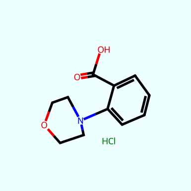 Cl.O=C(O)c1ccccc1N1CCOCC1